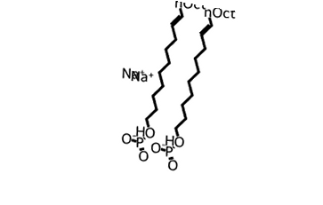 CCCCCCCCC=CCCCCCCCCO[PH](=O)[O-].CCCCCCCCC=CCCCCCCCCO[PH](=O)[O-].[Na+].[Na+]